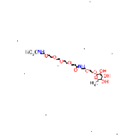 C[C@@H]1O[C@@H](OCCOCCNC(=O)CCOCCOCCOCCOCCNC(=O)O)[C@H](O)[C@H](O)[C@H]1O